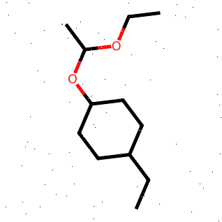 [CH2]C(OCC)OC1CCC(CC)CC1